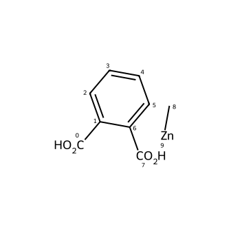 O=C(O)c1ccccc1C(=O)O.[CH3][Zn]